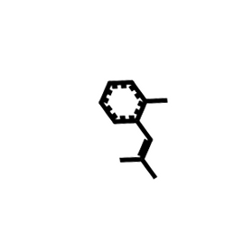 CC(C)=Cc1ccccc1C